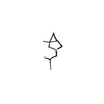 CC12CC1CN(CC(F)F)C2